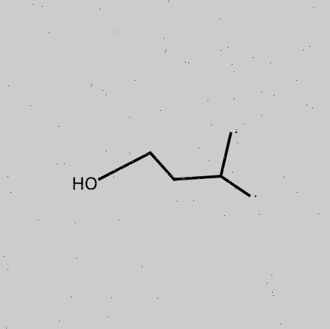 [CH2]C([CH2])CCO